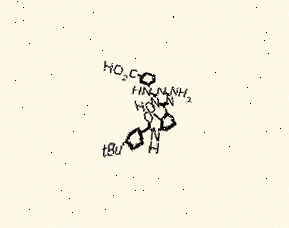 CC(C)(C)c1ccc(C(=O)Nc2cccc(-c3nc(N)nc(Nc4cccc(C(=O)O)c4)n3)c2CO)cc1